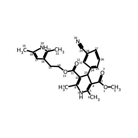 COC(=O)C1=C(C)NC(C)=C(C(=O)OCCc2cc(C)[nH]c2C)C1c1cccc(C#N)c1